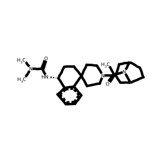 CC(=O)N1C2CCC1CC(N1CCC3(CC[C@@H](NC(=O)N(C)C)c4ccccc43)CC1)C2